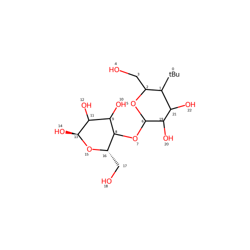 CC(C)(C)C1C(CO)OC(OC2C(O)C(O)[C@H](O)O[C@H]2CO)C(O)C1O